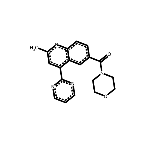 Cc1cc(-c2ncccn2)c2cc(C(=O)N3CCOCC3)ccc2n1